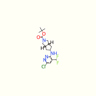 CC(C)(C)OC(=O)N1C[C@H]2CC(Nc3nnc(Cl)cc3C(F)F)C[C@H]2C1